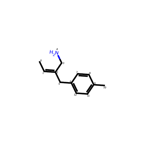 C/C=C(\CN)Cc1ccc(C)cc1